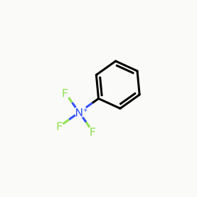 F[N+](F)(F)c1ccccc1